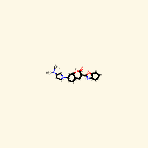 CN(C)C1CCN(c2ccc3cc(-c4nc5ccccc5o4)c(=O)oc3c2)C1